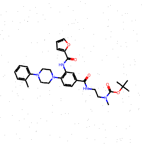 Cc1ccccc1N1CCN(c2ccc(C(=O)NCCN(C)C(=O)OC(C)(C)C)cc2NC(=O)c2ccco2)CC1